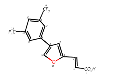 O=C(O)C=Cc1cc(-c2cc(C(F)(F)F)cc(C(F)(F)F)c2)co1